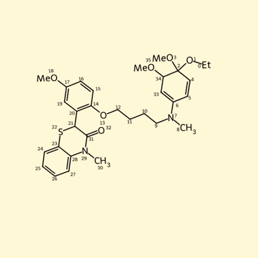 CCOC1(OC)C=CC(N(C)CCCCOc2ccc(OC)cc2C2Sc3ccccc3N(C)C2=O)=CC1OC